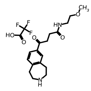 COCCNC(=O)CCC(=O)c1ccc2c(c1)CCNCC2.O=C(O)C(F)(F)F